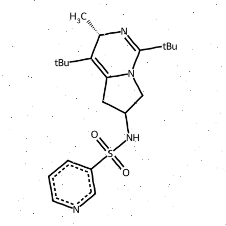 C[C@@H]1N=C(C(C)(C)C)N2CC(NS(=O)(=O)c3cccnc3)CC2=C1C(C)(C)C